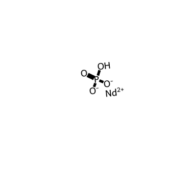 O=P([O-])([O-])O.[Nd+2]